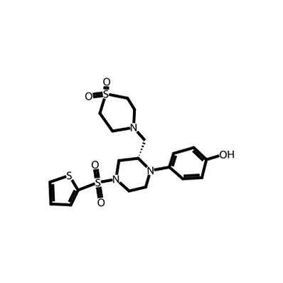 O=S1(=O)CCN(C[C@H]2CN(S(=O)(=O)c3cccs3)CCN2c2ccc(O)cc2)CC1